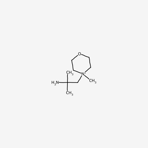 CC(C)(N)C[N+]1(C)CCOCC1